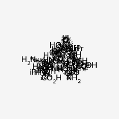 CC(C)C[C@H](NC(=O)[C@H](Cc1ccc(O)cc1)NC(=O)[C@H](CS)NC(=O)[C@H](Cc1ccc(O)cc1)NC(=O)[C@@H](N)CC(N)=O)C(=O)N[C@@H](Cc1ccccc1)C(=O)N[C@@H](CO)C(=O)N[C@@H](Cc1ccc(O)cc1)C(=O)N[C@@H](CO)C(=O)N[C@@H](CC(N)=O)C(=O)N[C@@H](CCCCN)C(=O)N[C@@H](CC(C)C)C(=O)N[C@H](C(=O)O)[C@@H](C)O